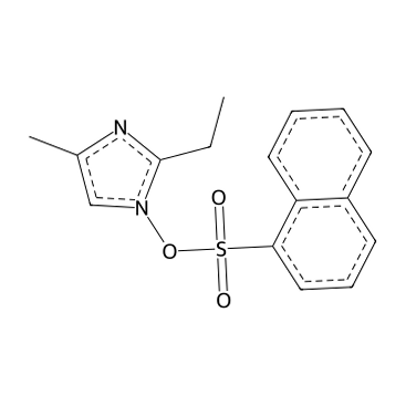 CCc1nc(C)cn1OS(=O)(=O)c1cccc2ccccc12